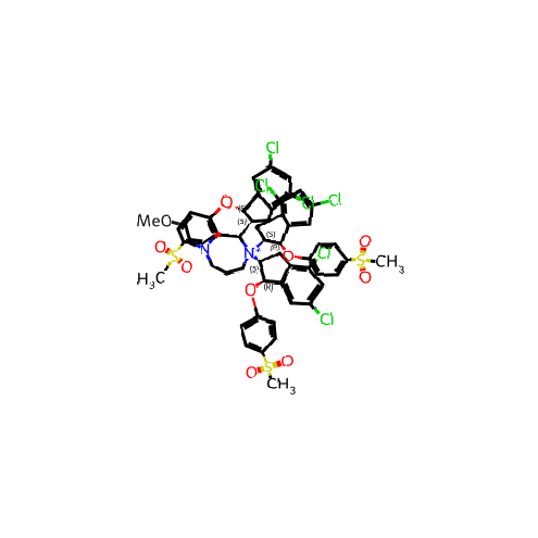 COCCN1CCC[N+]([C@H]2Cc3c(Cl)cc(Cl)cc3[C@H]2Oc2ccc(S(C)(=O)=O)cc2)([C@H]2Cc3c(Cl)cc(Cl)cc3[C@H]2Oc2ccc(S(C)(=O)=O)cc2)C([C@@H]2Cc3c(Cl)cc(Cl)cc3[C@H]2Oc2ccc(S(C)(=O)=O)cc2)C1